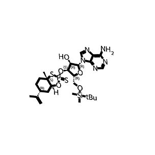 C=C(C)[C@@H]1CC[C@]2(C)SP(=S)(O[C@H]3[C@@H](O)[C@H](n4cnc5c(N)ncnc54)O[C@@H]3CO[Si](C)(C)C(C)(C)C)O[C@H]2C1